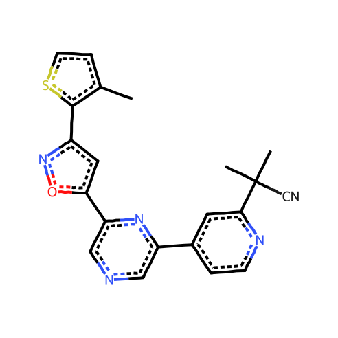 Cc1ccsc1-c1cc(-c2cncc(-c3ccnc(C(C)(C)C#N)c3)n2)on1